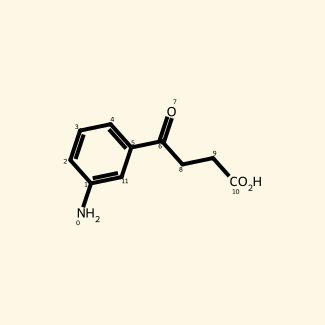 Nc1cccc(C(=O)CCC(=O)O)c1